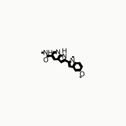 CNC(=O)c1cnc2[nH]c(-c3cc4cc(OC)ccc4n3C)cc2c1